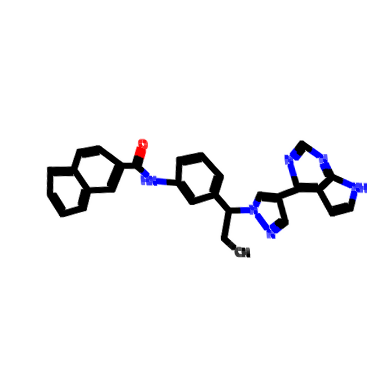 N#CCC(c1cccc(NC(=O)c2ccc3ccccc3c2)c1)n1cc(-c2ncnc3[nH]ccc23)cn1